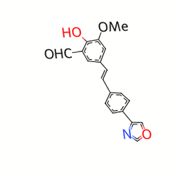 COc1cc(/C=C/c2ccc(-c3cocn3)cc2)cc(C=O)c1O